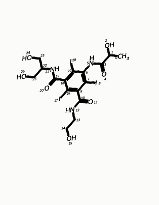 CC(O)C(=O)Nc1c(I)c(C(=O)NCCO)c(I)c(C(=O)NC(CO)CO)c1I